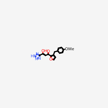 COc1ccc(Cc2ccoc2C(=O)C=C(O)c2nn[nH]n2)cc1